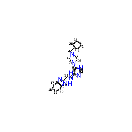 c1ccc(CN2CCN(c3cc(NCc4nc5ccccc5[nH]4)ncn3)CC2)cc1